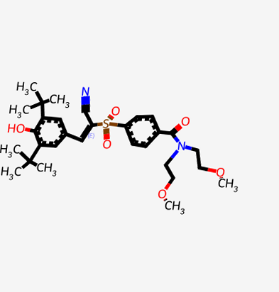 COCCN(CCOC)C(=O)c1ccc(S(=O)(=O)/C(C#N)=C/c2cc(C(C)(C)C)c(O)c(C(C)(C)C)c2)cc1